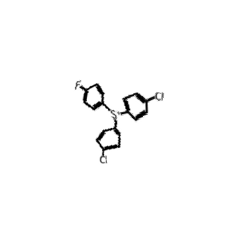 Fc1ccc([S+](c2ccc(Cl)cc2)c2ccc(Cl)cc2)cc1